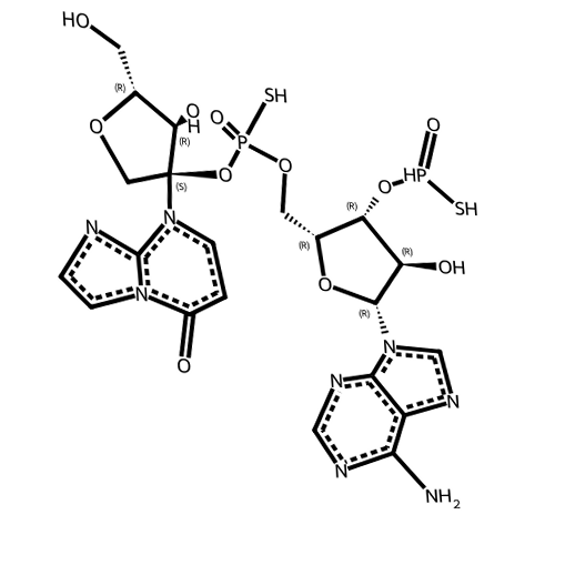 Nc1ncnc2c1ncn2[C@@H]1O[C@H](COP(=O)(S)O[C@@]2(n3ccc(=O)n4ccnc34)CO[C@H](CO)[C@H]2O)[C@H](O[PH](=O)S)[C@H]1O